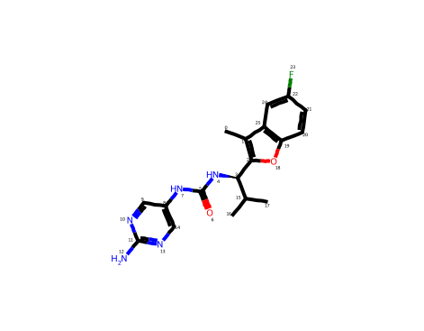 Cc1c([C@H](NC(=O)Nc2cnc(N)nc2)C(C)C)oc2ccc(F)cc12